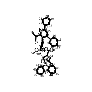 COP(=O)(C#Cc1c(-c2ccc(F)cc2)cc(-c2ccccc2)nc1C(C)C)C[C@H](CC(=O)O)O[Si](c1ccccc1)(c1ccccc1)C(C)(C)C